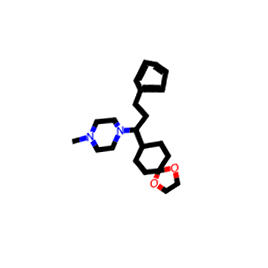 CN1CCN(C(CCc2ccccc2)C2CCC3(CC2)OCCO3)CC1